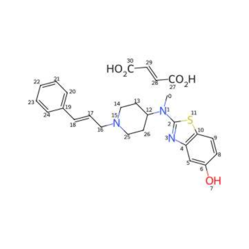 CN(c1nc2cc(O)ccc2s1)C1CCN(CC=Cc2ccccc2)CC1.O=C(O)C=CC(=O)O